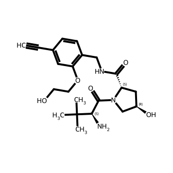 C#Cc1ccc(CNC(=O)[C@@H]2C[C@@H](O)CN2C(=O)[C@@H](N)C(C)(C)C)c(OCCO)c1